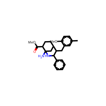 COC(=O)C1CCC2CC1(N)NC(c1ccccc1)C2Cc1cc(C)ccc1OC